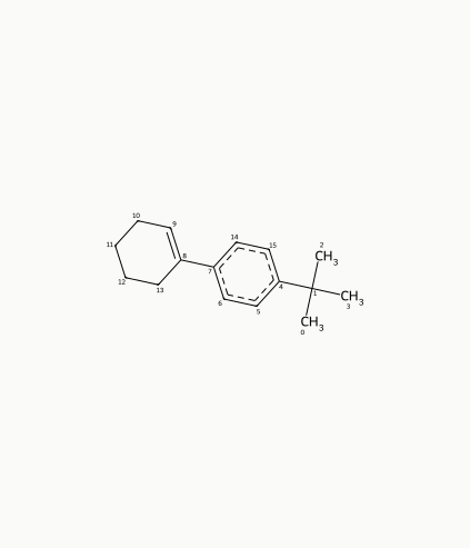 CC(C)(C)c1ccc(C2=CCCCC2)cc1